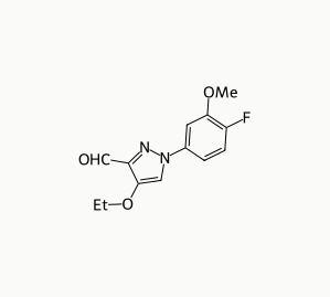 CCOc1cn(-c2ccc(F)c(OC)c2)nc1C=O